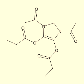 CCC(=O)OC1=C(OC(=O)CC)N(C(C)=O)CN1C(C)=O